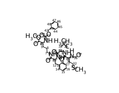 COC(=O)[C@H](CCCNC(=O)[C@H](Cc1ccccc1)NC(=O)[C@H](CC(C)C)NC(=O)[C@H](CCSC)NC=O)NC(=O)OCc1ccccc1